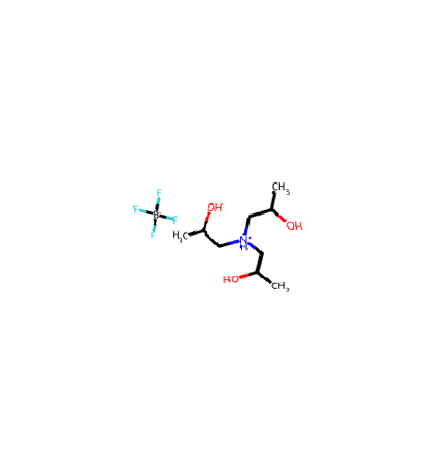 CC(O)C[NH+](CC(C)O)CC(C)O.F[B-](F)(F)F